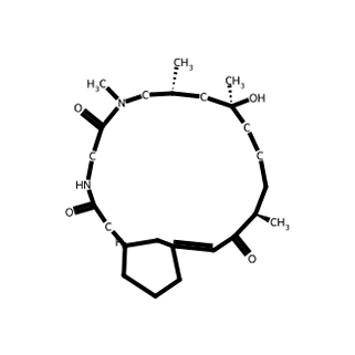 C[C@H]1CN(C)C(=O)CNC(=O)C[C@H]2CCC/C(=C\C(=O)[C@H](C)CCC[C@](C)(O)C1)C2